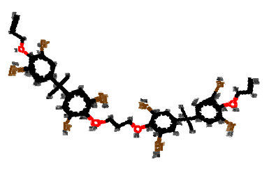 C=CCOc1c(Br)cc(C(C)(C)c2cc(Br)c(OCCCOc3c(Br)cc(C(C)(C)c4cc(Br)c(OCC=C)c(Br)c4)cc3Br)c(Br)c2)cc1Br